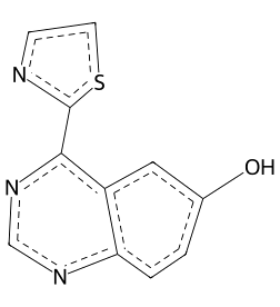 Oc1ccc2ncnc(-c3nccs3)c2c1